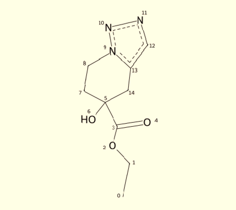 CCOC(=O)C1(O)CCn2nncc2C1